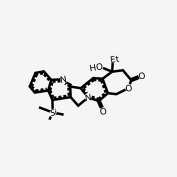 CCC1(O)CC(=O)OCc2c1cc1n(c2=O)Cc2c-1nc1ccccc1c2[Si](C)(C)C